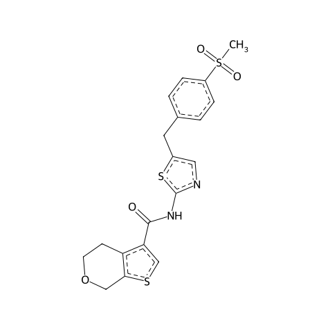 CS(=O)(=O)c1ccc(Cc2cnc(NC(=O)c3csc4c3CCOC4)s2)cc1